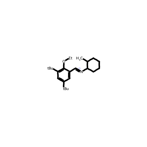 CCOc1c(/C=N/C2CCCCC2C)cc(C(C)(C)C)cc1C(C)(C)C